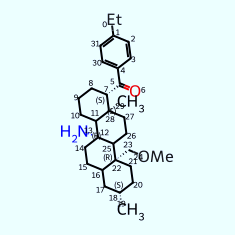 CCc1ccc(C(=O)[C@H]2CCCC3[C@]4(N)CCC5C[C@@H](C)CC[C@]5(COC)C4CC[C@@]32C)cc1